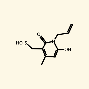 C=CCn1c(O)cc(C)c(CS(=O)(=O)O)c1=O